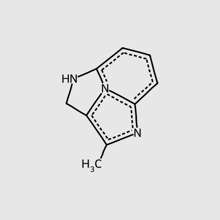 Cc1nc2cccc3n2c1CN3